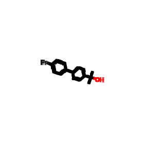 CC(C)c1ccc(-c2ccc(C(C)(C)O)cc2)cc1